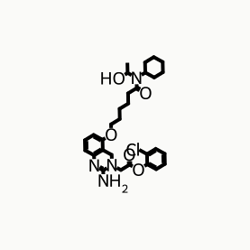 CC(O)N(C(=O)CCCCCOc1cccc2c1CN(CC(=O)Oc1ccccc1Cl)C(N)=N2)C1CCCCC1